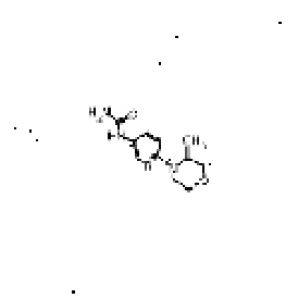 CC1COCCN1c1ccc(NC(N)=O)cn1